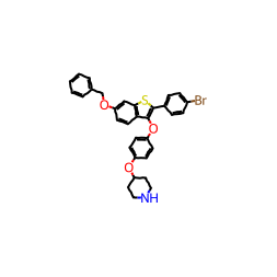 Brc1ccc(-c2sc3cc(OCc4ccccc4)ccc3c2Oc2ccc(OC3CCNCC3)cc2)cc1